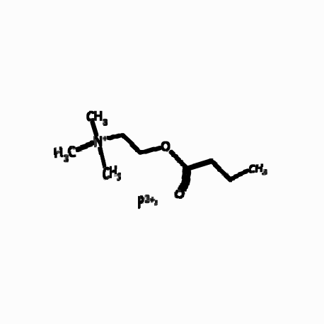 CCCC(=O)OCC[N+](C)(C)C.[P+3]